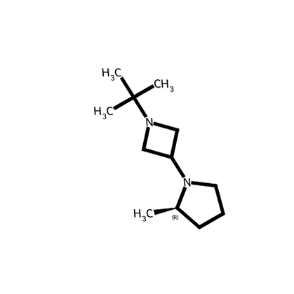 C[C@@H]1CCCN1C1CN(C(C)(C)C)C1